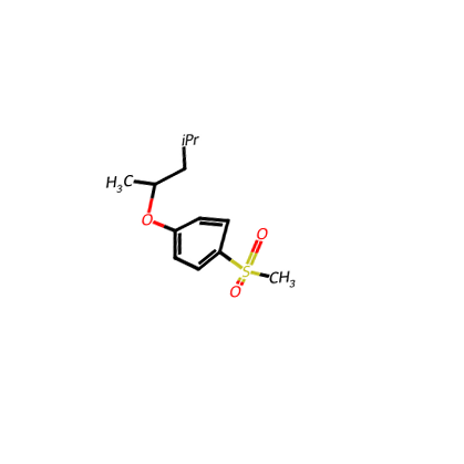 CC(C)CC(C)Oc1ccc(S(C)(=O)=O)cc1